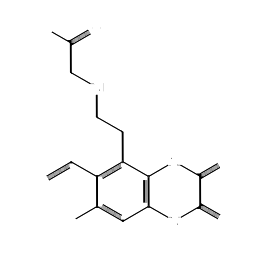 C=Cc1c(Br)cc2[nH]c(=O)c(=O)[nH]c2c1CCNCC(=O)O